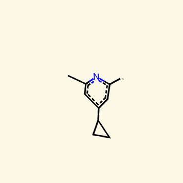 [CH2]c1cc(C2CC2)cc(C)n1